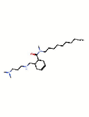 CCCCCCCCCCCCCCCCCCN(C)C(=O)C1CC=CCC1CNCCCN(C)C